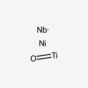 [Nb].[Ni].[O]=[Ti]